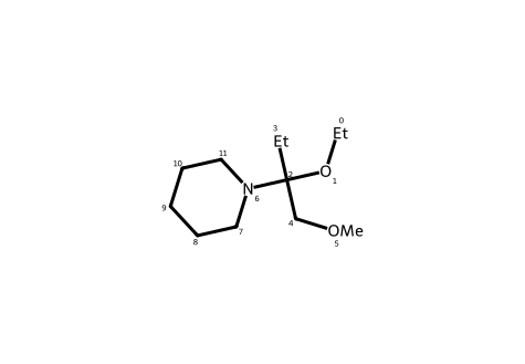 CCOC(CC)(COC)N1CCCCC1